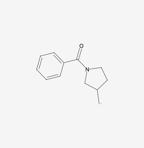 [CH2]C1CCN(C(=O)c2ccccc2)C1